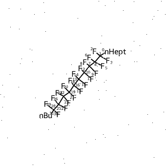 CCCCCCCC(F)(F)C(F)(F)C(F)(F)C(F)(F)C(F)(F)C(F)(F)C(F)(F)C(F)(F)C(F)(F)C(F)(F)CCCC